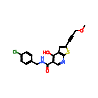 COCC#Cc1cc2c(O)c(C(=O)NCc3ccc(Cl)cc3)cnc2s1